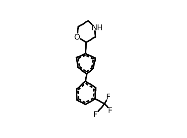 FC(F)(F)c1cccc(-c2ccc(C3CNCCO3)cc2)c1